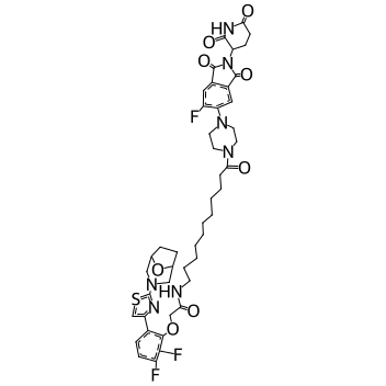 O=C(COc1c(-c2csc(N3CC4CCC(C3)O4)n2)ccc(F)c1F)NCCCCCCCCCCC(=O)N1CCN(c2cc3c(cc2F)C(=O)N(C2CCC(=O)NC2=O)C3=O)CC1